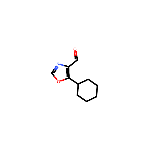 O=Cc1ncoc1C1CCCCC1